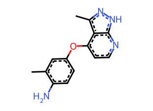 Cc1cc(Oc2ccnc3[nH]nc(C)c23)ccc1N